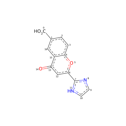 O=C(O)c1ccc2oc(-c3ncc[nH]3)cc(=O)c2c1